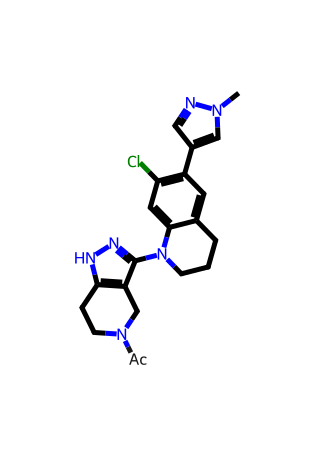 CC(=O)N1CCc2[nH]nc(N3CCCc4cc(-c5cnn(C)c5)c(Cl)cc43)c2C1